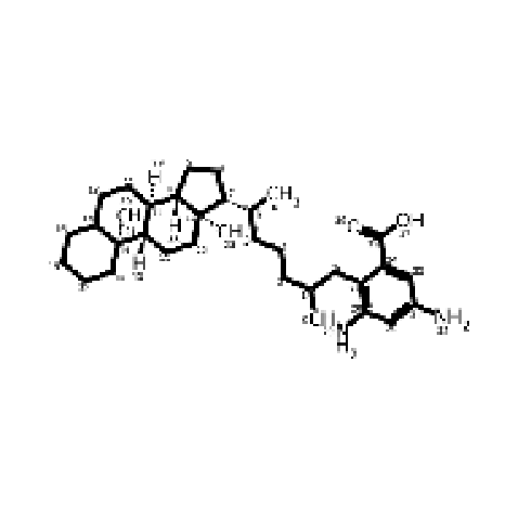 CC(CCCC(C)[C@H]1CC[C@H]2[C@@H]3CCC4CCCC[C@]4(C)[C@H]3CC[C@]12C)Cc1c(N)cc(N)cc1C(=O)O